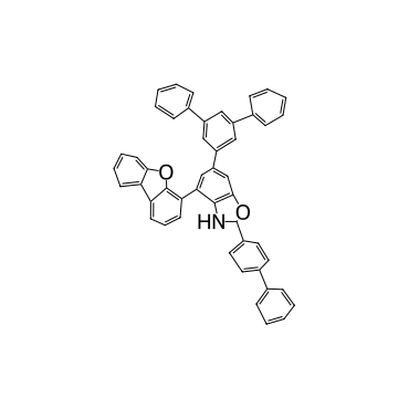 c1ccc(-c2ccc(C3Nc4c(cc(-c5cc(-c6ccccc6)cc(-c6ccccc6)c5)cc4-c4cccc5c4oc4ccccc45)O3)cc2)cc1